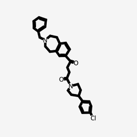 O=C(CCC(=O)N1CCC(c2ccc(Cl)cc2)CC1)c1ccc2c(c1)CCN(Cc1ccccc1)CC2